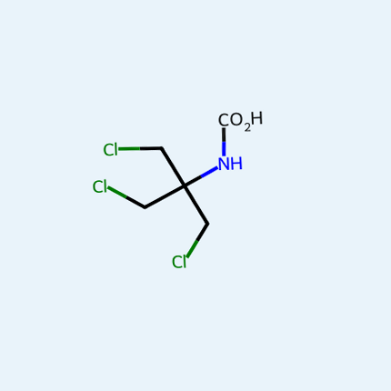 O=C(O)NC(CCl)(CCl)CCl